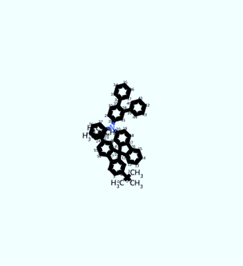 CC(C)(C)c1ccc2c(c1)C1(c3ccccc3-c3ccc(N(c4ccccc4)c4ccc(-c5ccccc5)c(-c5ccccc5)c4)cc31)c1cc(C(C)(C)C)ccc1-2